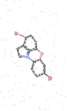 Brc1ccc2c(c1)Oc1ccc(Br)c3ccn-2c13